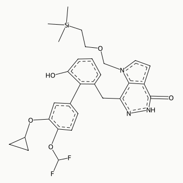 C[Si](C)(C)CCOCn1ccc2c(=O)[nH]nc(Cc3cccc(O)c3-c3ccc(OC(F)F)c(OC4CC4)c3)c21